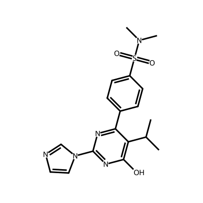 CC(C)c1c(O)nc(-n2ccnc2)nc1-c1ccc(S(=O)(=O)N(C)C)cc1